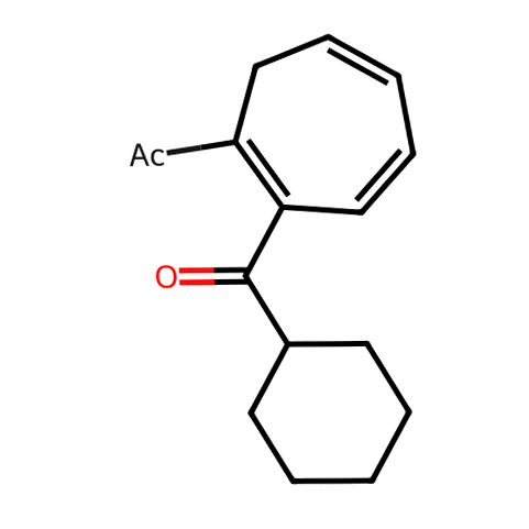 CC(=O)C1=C(C(=O)C2CCCCC2)C=CC=CC1